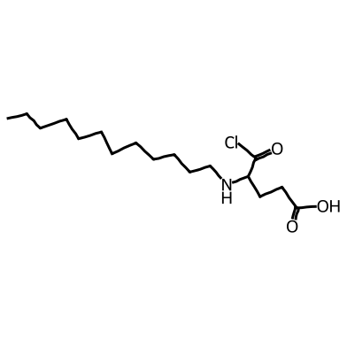 CCCCCCCCCCCCNC(CCC(=O)O)C(=O)Cl